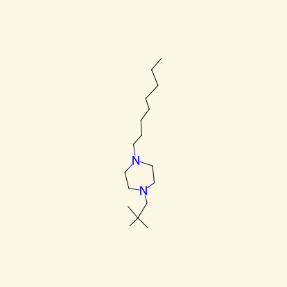 CCCCCCCCN1CCN(CC(C)(C)C)CC1